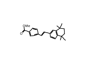 COC(=O)c1ccc(/C=C/c2ccc3c(c2)C(C)(C)CCC3(C)C)cc1